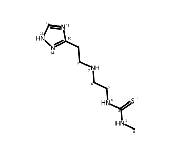 CNC(=S)NCCNCCc1nc[nH]n1